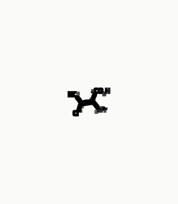 CCCC(C(=O)O)=C(Cl)C#N